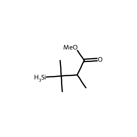 COC(=O)C(C)C(C)(C)[SiH3]